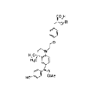 CCO[C@@H](Cc1ccc(OCCN2CCC(C)(C)c3cc(C(=NOC)c4ccc(C#N)cc4)ccc32)cc1)C(=O)O